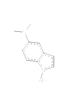 CCCCn1ccc2cc(N(C)C)ccc21